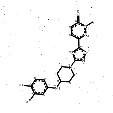 Cn1nc(-c2nnc(N3CCC(Nc4ccc(F)c(F)c4)CC3)s2)ccc1=O